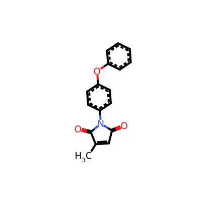 CC1=CC(=O)N(c2ccc(Oc3ccccc3)cc2)C1=O